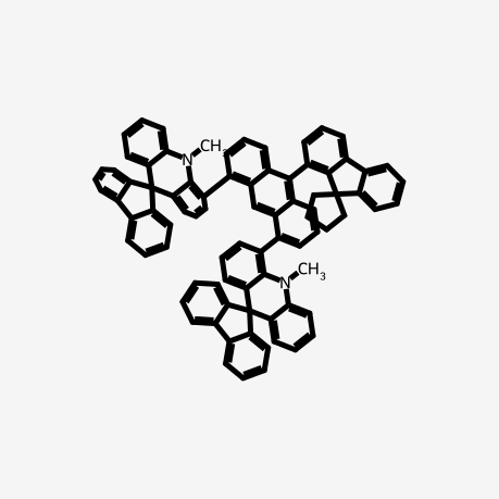 CN1c2ccccc2C2(c3ccccc3-c3ccccc32)c2cccc(-c3cccc4c(-c5cccc6c5C5(CCCC5)c5ccccc5-6)c5cccc(-c6cccc7c6N(C)c6ccccc6C76c7ccccc7-c7ccccc76)c5cc34)c21